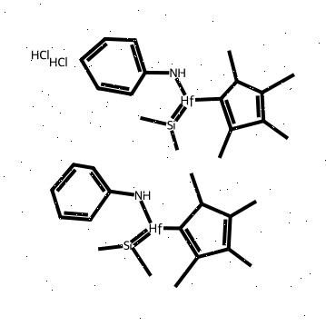 CC1=C(C)C(C)[C]([Hf]([NH]c2ccccc2)=[Si](C)C)=C1C.CC1=C(C)C(C)[C]([Hf]([NH]c2ccccc2)=[Si](C)C)=C1C.Cl.Cl